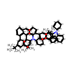 CC(C)(C)c1cc(-c2cccc3cccc(-c4ccccc4N(c4cccc(-c5ccc6c(c5)c5ccccc5n6-c5ccccc5)c4)c4ccccc4-c4ccc5c(c4)C(C)(C)c4ccccc4-5)c23)cc(C(C)(C)C)c1